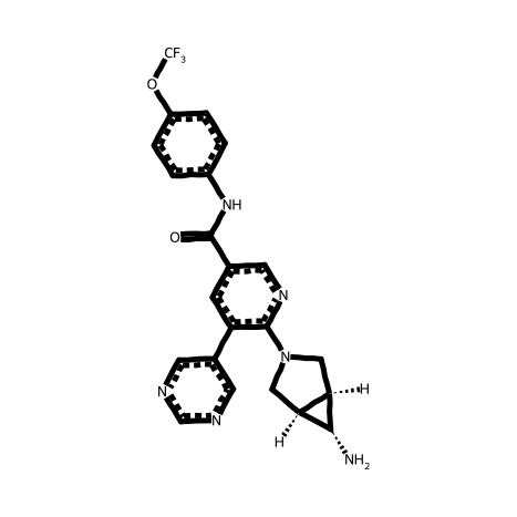 N[C@@H]1[C@H]2CN(c3ncc(C(=O)Nc4ccc(OC(F)(F)F)cc4)cc3-c3cncnc3)C[C@@H]12